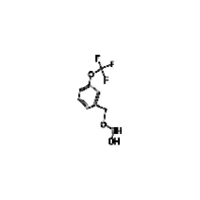 OBOCc1cccc(OC(F)(F)F)c1